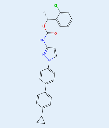 C[C@@H](OC(=O)Nc1ccn(-c2ccc(-c3ccc(C4CC4)cc3)cc2)n1)c1ccccc1Cl